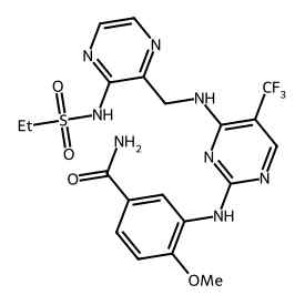 CCS(=O)(=O)Nc1nccnc1CNc1nc(Nc2cc(C(N)=O)ccc2OC)ncc1C(F)(F)F